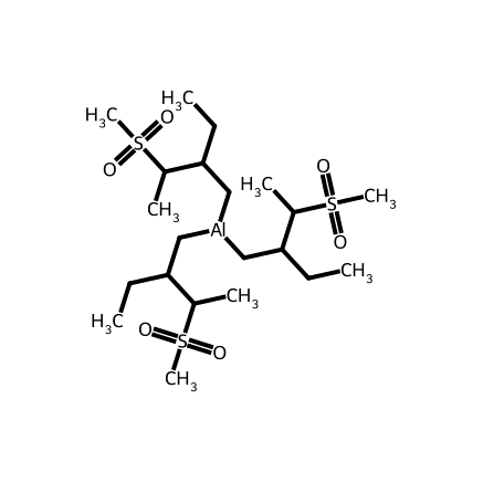 CCC([CH2][Al]([CH2]C(CC)C(C)S(C)(=O)=O)[CH2]C(CC)C(C)S(C)(=O)=O)C(C)S(C)(=O)=O